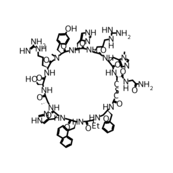 CC[C@@H]1NC(=O)[C@H](Cc2ccccc2)NC(=O)CSC[C@@H](C(=O)NCC(N)=O)NC(=O)[C@H](Cc2cncn2C)NC(=O)[C@H](CCCNC(=N)N)NC(=O)[C@H](Cc2c[nH]cn2)NC(=O)[C@H](Cc2ccc(O)cc2)N(C)C(=O)[C@H](CCCNC(=N)N)NC(=O)[C@H](CO)NC(=O)[C@@H](C)NC(=O)[C@H](Cc2c[nH]cn2)NC(=O)[C@H](Cc2cccc3ccccc23)NC1=O